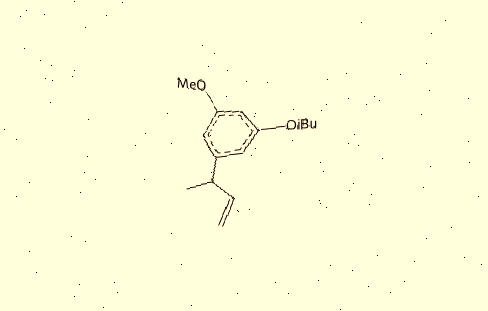 C=C[C](C)c1cc(OC)cc(OCC(C)C)c1